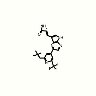 CC(C)(C)Cc1cc(-c2cnc3[nH]cc(C=CC(N)=O)c3n2)cc(C(F)(F)F)n1